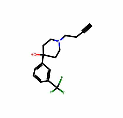 C#CCCN1CCC(O)(c2cccc(C(F)(F)F)c2)CC1